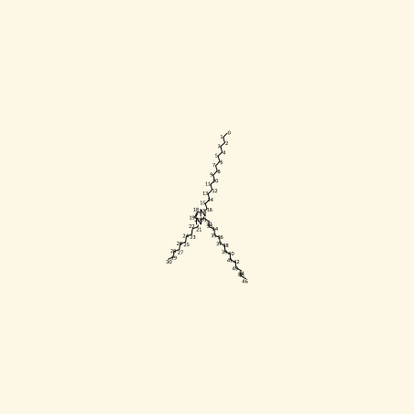 CCCCCCCCCCCCCCCCCN1C=CN(CCCCCCCCCC)C1CCCCCCCCCCCCCCC